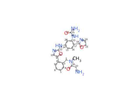 CN(Cc1ccccc1-c1cnc(Nc2ccc(-c3ncco3)c(NC(N)=O)c2)o1)C(=O)CN